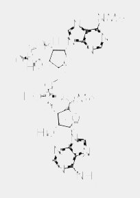 CNc1ncnc2c1ncn2[C@@H]1O[C@H](COP(=O)(O)O[C@H]2[C@@H](OC)O[C@@H](n3cnc4c(N)ncnc43)[C@H]2O)[C@H](O[PH](=O)O)[C@@H]1O